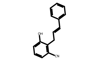 N#Cc1cccc(O)c1C/C=C/c1ccccc1